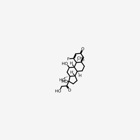 C[C@]12C(F)=CC(=O)C=C1CC[C@@H]1[C@@H]2C(O)C[C@@]2(CO)[C@H]1CC[C@]2(O)C(=O)CO